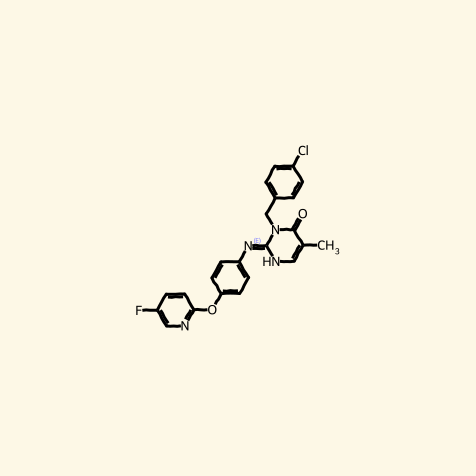 Cc1c[nH]/c(=N\c2ccc(Oc3ccc(F)cn3)cc2)n(Cc2ccc(Cl)cc2)c1=O